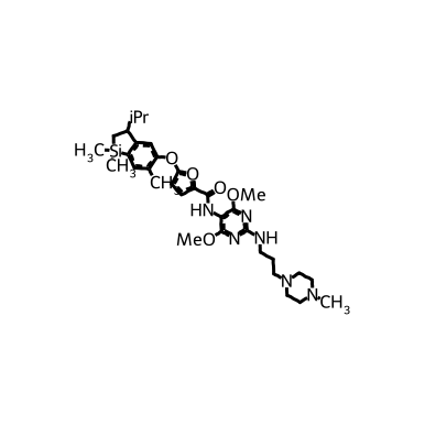 COc1nc(NCCCN2CCN(C)CC2)nc(OC)c1NC(=O)c1ccc(Oc2cc3c(cc2C)[Si](C)(C)CC3C(C)C)o1